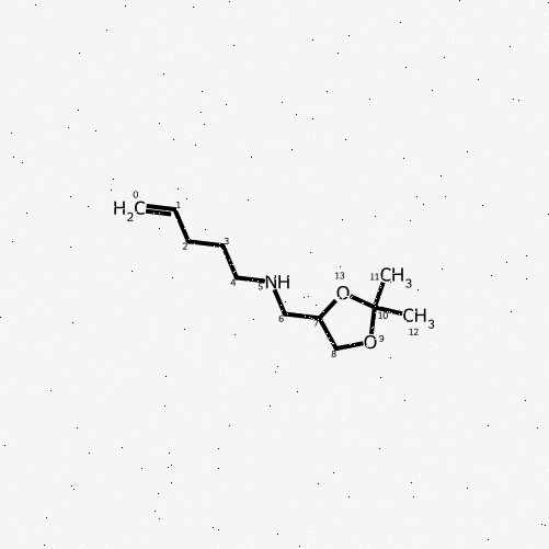 C=CCCCNCC1COC(C)(C)O1